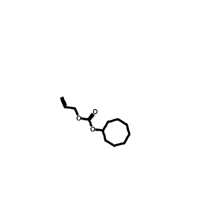 C=CCOC(=O)OC1CCCCCCC1